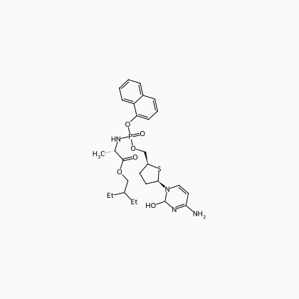 CCC(CC)COC(=O)[C@H](C)NP(=O)(OC[C@@H]1CC[C@H](N2C=CC(N)=NC2O)S1)Oc1cccc2ccccc12